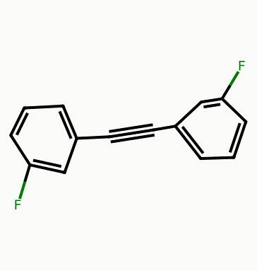 Fc1cccc(C#Cc2cccc(F)c2)c1